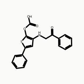 O=C(O)Oc1sc(-c2ccccc2)cc1NCC(=O)c1ccccc1